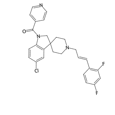 O=C(c1ccncc1)N1CC2(CCN(C/C=C/c3ccc(F)cc3F)CC2)c2cc(Cl)ccc21